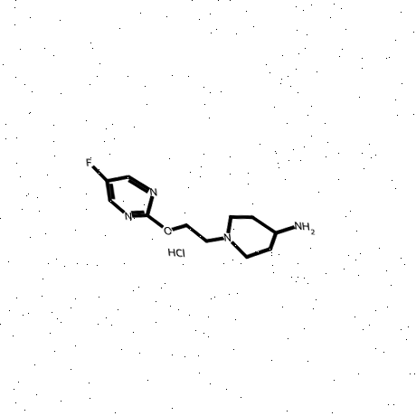 Cl.NC1CCN(CCOc2ncc(F)cn2)CC1